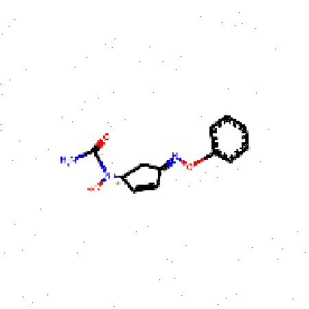 NC(=O)N(O)[C@H]1C=CC(=NOc2ccccc2)C1